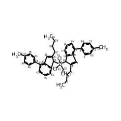 CCCCC1=Cc2c(-c3ccc(C)cc3)cccc2[CH]1[Zr]([Cl])([Cl])([CH2]C)[CH]1C(CCCC)=Cc2c(-c3ccc(C)cc3)cccc21